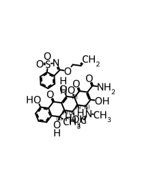 C=CCOC1=NS(=O)(=O)c2ccccc21.CN(C)[C@@H]1C(O)=C(C(N)=O)C(=O)[C@@]2(O)C(O)=C3C(=O)c4c(O)cccc4[C@@](C)(O)[C@H]3[C@H](O)[C@@H]12